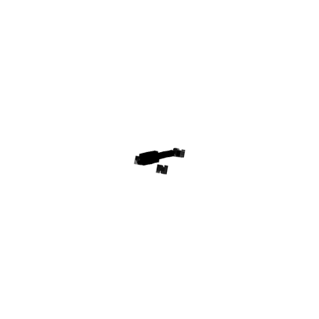 N#[C][Sn].[Pd]